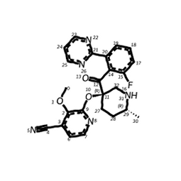 COc1c(C#N)ccnc1O[C@]1(C(=O)c2c(F)cccc2-c2ncccn2)CC[C@@H](C)NC1